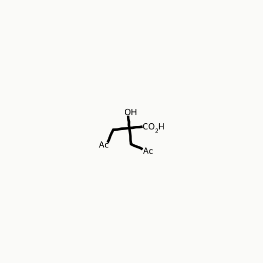 CC(=O)CC(O)(CC(C)=O)C(=O)O